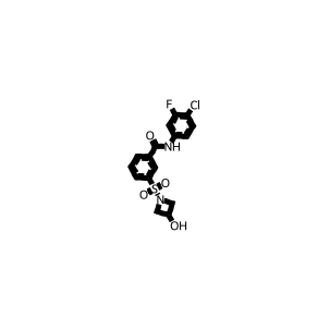 O=C(Nc1ccc(Cl)c(F)c1)c1cccc(S(=O)(=O)N2CC(O)C2)c1